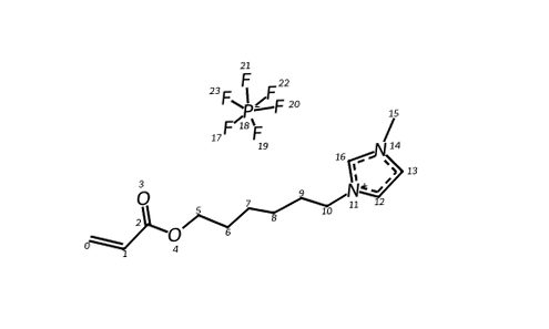 C=CC(=O)OCCCCCC[n+]1ccn(C)c1.F[P-](F)(F)(F)(F)F